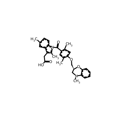 Cc1ccc2c(c1)c(CC(=O)O)c(C)n2C(=O)c1cc(C)c(OC[C@@H]2CN(C)c3ccccc3O2)cc1C